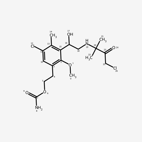 COc1c(CCOC(N)=O)cc(Cl)c(C)c1C(O)CNC(C)(C)C(=O)CCl